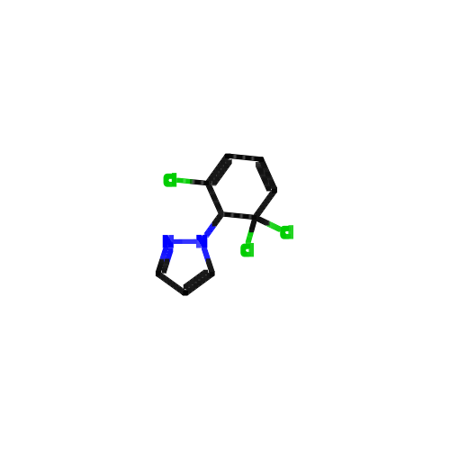 ClC1=CC=CC(Cl)(Cl)C1n1cccn1